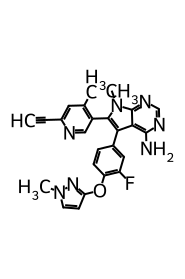 C#Cc1cc(C)c(-c2c(-c3ccc(Oc4ccn(C)n4)c(F)c3)c3c(N)ncnc3n2C)cn1